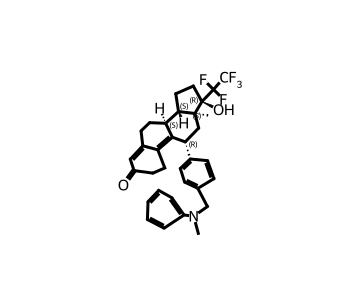 CN(Cc1ccc([C@H]2C[C@@]3(C)[C@@H](CC[C@]3(O)C(F)(F)C(F)(F)F)[C@@H]3CCC4=CC(=O)CCC4=C32)cc1)c1ccccc1